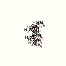 C=CC(C)(O)CC/C=C(\CO)C(=O)OC1C(C)OC(O[C@](C)(CC)CC/C=C(\CO)C(=O)OC2CC3(C(=O)OCC)C(O)CC4(C)C(=CCC5C6(C)CCC(C)C(C)(C)C6CCC54C)C3CC2(C)C)C(O)C1O